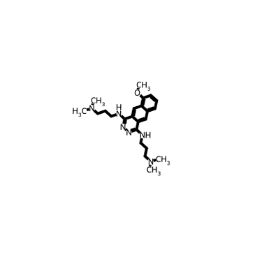 COc1cccc2cc3c(NCCCN(C)C)nnc(NCCCN(C)C)c3cc12